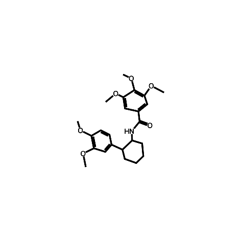 COc1ccc(C2CCCCC2NC(=O)c2cc(OC)c(OC)c(OC)c2)cc1OC